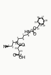 N#CCCN(CCCCNC(=O)OCc1ccccc1)C(=O)CCC(=O)O